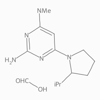 CNc1cc(N2CCCC2C(C)C)nc(N)n1.O=CO